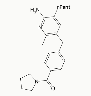 CCCCCc1cc(Cc2ccc(C(=O)N3CCCC3)cc2)c(C)nc1N